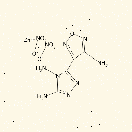 Nc1nonc1-c1nnc(N)n1N.O=[N+]([O-])[O-].O=[N+]([O-])[O-].[Zn+2]